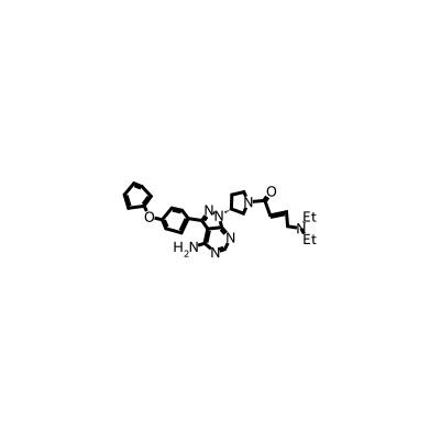 CCN(CC)C/C=C/C(=O)N1CC[C@@H](n2nc(-c3ccc(Oc4ccccc4)cc3)c3c(N)ncnc32)C1